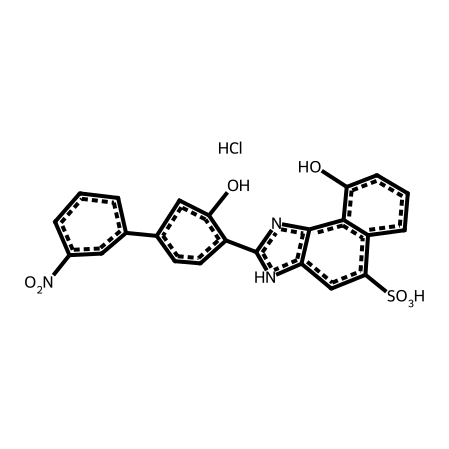 Cl.O=[N+]([O-])c1cccc(-c2ccc(-c3nc4c(cc(S(=O)(=O)O)c5cccc(O)c54)[nH]3)c(O)c2)c1